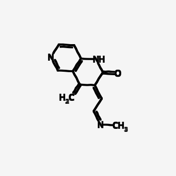 C=c1/c(=C\C=N/C)c(=O)[nH]c2ccncc12